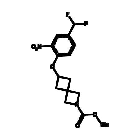 CC(C)(C)OC(=O)N1CC2(CC(Oc3ccc(C(F)F)cc3[N+](=O)[O-])C2)C1